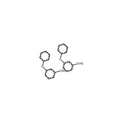 O=Cc1cccc(Oc2ccccc2)c1.O=Cc1cccc(Oc2ccccc2)c1